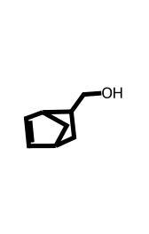 OCC1CC2C=C[C]1C2